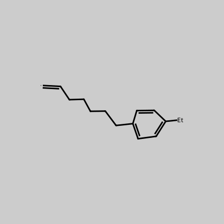 [CH]=CCCCCCc1ccc(CC)cc1